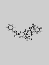 CS(=O)(=O)ON1C2=C(CN(C(=O)OCc3ccccc3)CC2)SC1C(=O)Nc1ccccc1N